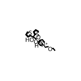 CCOCC[N+]12CCC(CC1)[C@@H](OC(=O)C(O)(c1cccs1)c1cccs1)C2